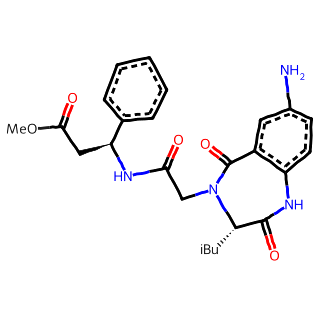 CCC(C)[C@H]1C(=O)Nc2ccc(N)cc2C(=O)N1CC(=O)N[C@@H](CC(=O)OC)c1ccccc1